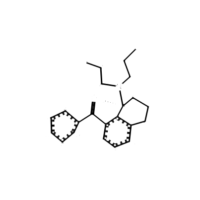 CCCN(CCC)[C@@]1(C)CCCc2cccc(C(=O)c3ccccc3)c21